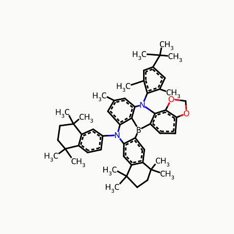 Cc1cc2c3c(c1)N(c1c(C)cc(C(C)(C)C)cc1C)c1c(ccc4c1OCO4)B3c1cc3c(cc1N2c1ccc2c(c1)C(C)(C)CCC2(C)C)C(C)(C)CCC3(C)C